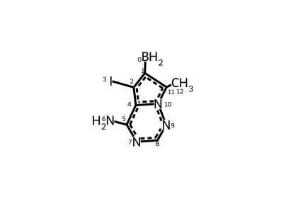 Bc1c(I)c2c(N)ncnn2c1C